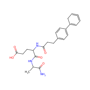 CC(NC(=O)C(CCC(=O)O)NC(=O)CCc1ccc(C2=CC=C=CC2)cc1)C(N)=O